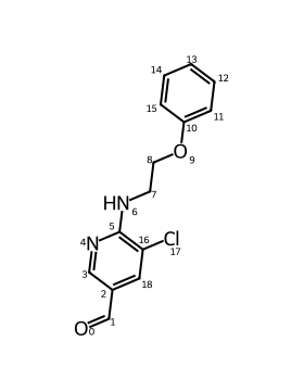 O=Cc1cnc(NCCOc2ccccc2)c(Cl)c1